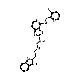 Fc1cccnc1CNc1nccc2sc([C@H](F)CNCCc3nc4ccccc4[nH]3)nc12